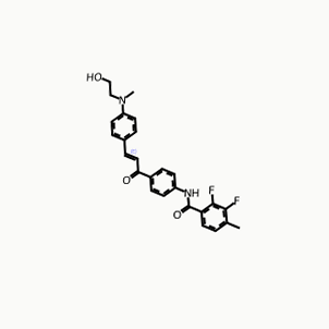 Cc1ccc(C(=O)Nc2ccc(C(=O)/C=C/c3ccc(N(C)CCO)cc3)cc2)c(F)c1F